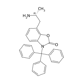 C[C@@H](N)Cc1cccc2c1oc(=O)n2C(c1ccccc1)(c1ccccc1)c1ccccc1